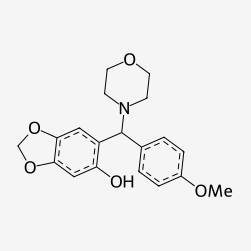 COc1ccc(C(c2cc3c(cc2O)OCO3)N2CCOCC2)cc1